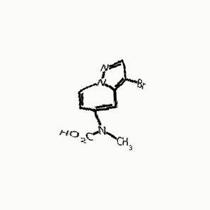 CN(C(=O)O)c1ccn2ncc(Br)c2c1